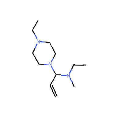 C=CC(N(C)CC)N1CCN(CC)CC1